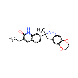 CCc1cc2ccc(C(C)(N)Cc3ccc4c(c3)OCCO4)cc2[nH]c1=O